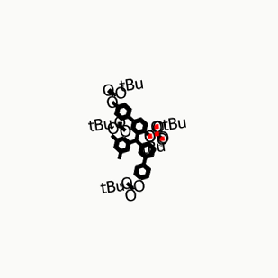 Cc1cc(C)c(OC(=O)OC(C)(C)C)c(C(c2cc(-c3ccc(OC(=O)OC(C)(C)C)cc3)ccc2OC(=O)OC(C)(C)C)c2cc(-c3ccc(OC(=O)OC(C)(C)C)cc3)ccc2OC(=O)OC(C)(C)C)c1